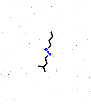 CCCCNNCCC(C)C